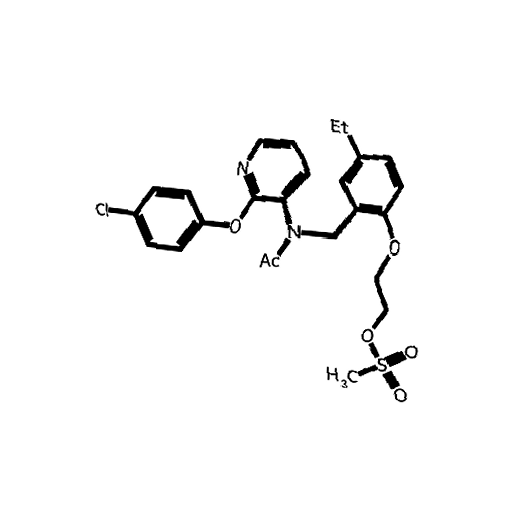 CCc1ccc(OCCOS(C)(=O)=O)c(CN(C(C)=O)c2cccnc2Oc2ccc(Cl)cc2)c1